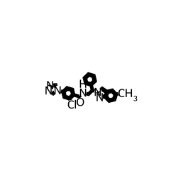 Cc1ccc2nn(C(CNC(=O)c3ccc(-n4cnnc4)cc3Cl)c3ccccc3)cc2c1